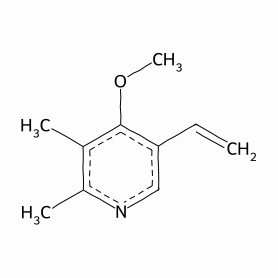 C=Cc1cnc(C)c(C)c1OC